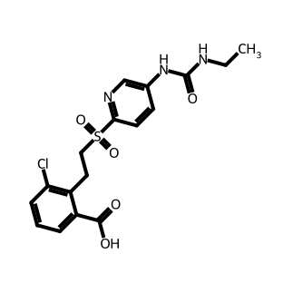 CCNC(=O)Nc1ccc(S(=O)(=O)CCc2c(Cl)cccc2C(=O)O)nc1